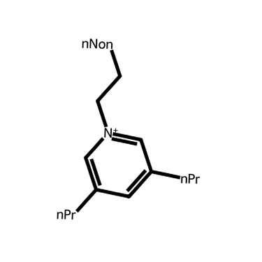 CCCCCCCCCCC[n+]1cc(CCC)cc(CCC)c1